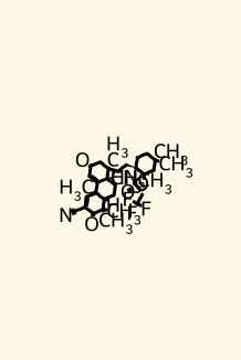 CC1CC(C)(C)CC[C@@]1(CC[C@]1(C)CC(=O)C=C2[C@@]3(C)C=C(C#N)C(=O)C(C)(C)[C@@H]3CC[C@]21C)NS(=O)(=O)CC(F)(F)F